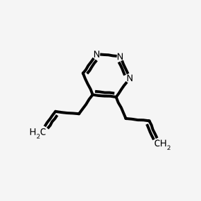 C=CCc1cnnnc1CC=C